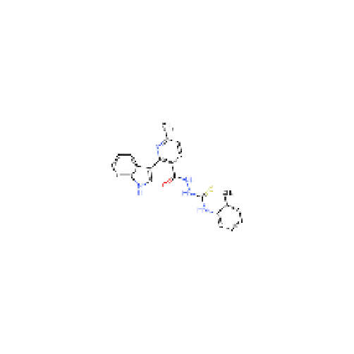 Cc1ccc(C(=O)NNC(=S)Nc2ccccc2C)c(-c2c[nH]c3ccccc23)n1